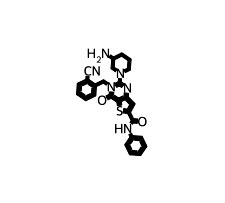 N#Cc1ccccc1Cn1c(N2CCCC(N)C2)nc2cc(C(=O)Nc3ccccc3)sc2c1=O